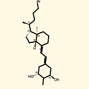 CC(C)CCC[C@H](C)[C@H]1CC[C@H]2/C(=C/C=C3C[C@@H](O)C(C)[C@H](O)C3)CCC[C@]12C